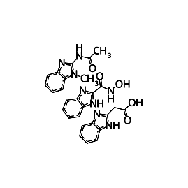 CC(=O)Nc1nc2ccccc2n1C.O=C(NO)c1nc2ccccc2[nH]1.O=C(O)Cc1nc2ccccc2[nH]1